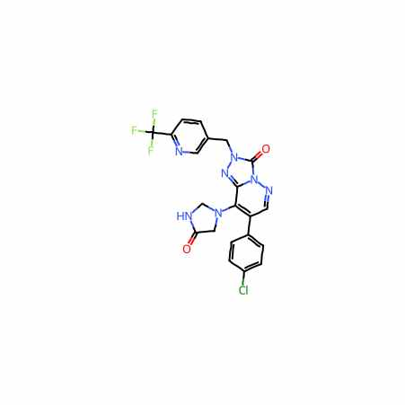 O=C1CN(c2c(-c3ccc(Cl)cc3)cnn3c(=O)n(Cc4ccc(C(F)(F)F)nc4)nc23)CN1